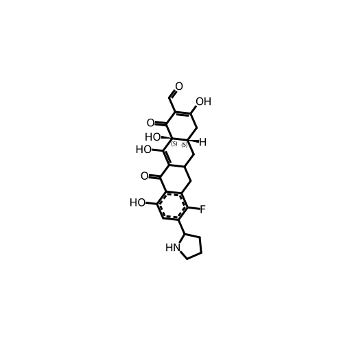 O=CC1=C(O)C[C@@H]2CC3Cc4c(F)c(C5CCCN5)cc(O)c4C(=O)C3=C(O)[C@]2(O)C1=O